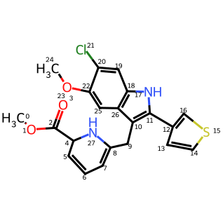 COC(=O)C1C=CC=C(Cc2c(-c3ccsc3)[nH]c3cc(Cl)c(OC)cc23)N1